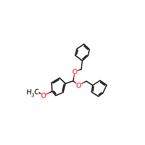 COc1ccc(C(OCc2ccccc2)OCc2ccccc2)cc1